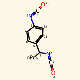 CCCC(N=C=O)c1ccc(N=C=O)cc1